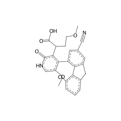 COCCC(C(=O)O)c1c(-c2cc(C#N)cc3c2-c2c(Cl)cccc2C3)c(OC)c[nH]c1=O